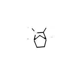 CC(C)N1C(C)[C@H]2CC[C@@H]1C2